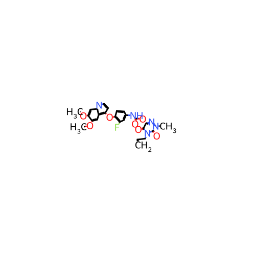 C=CCn1c(=O)c(OC(=O)Nc2ccc(Oc3ccnc4cc(OC)c(OC)cc34)c(F)c2)nn(C)c1=O